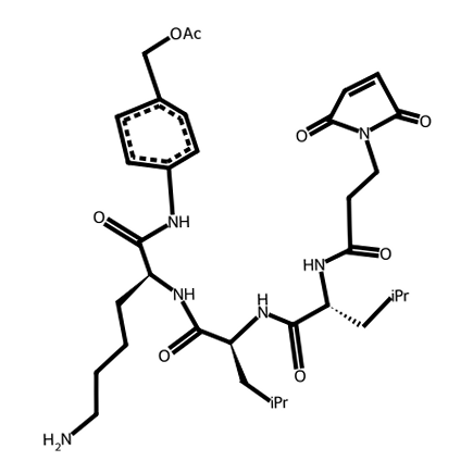 CC(=O)OCc1ccc(NC(=O)[C@H](CCCCN)NC(=O)[C@H](CC(C)C)NC(=O)[C@@H](CC(C)C)NC(=O)CCN2C(=O)C=CC2=O)cc1